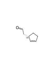 O=CC[C@H]1C=CCC1